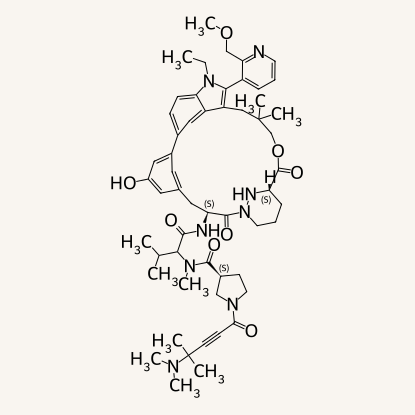 CCn1c(-c2cccnc2COC)c2c3cc(ccc31)-c1cc(O)cc(c1)C[C@H](NC(=O)C(C(C)C)N(C)C(=O)[C@H]1CCN(C(=O)C#CC(C)(C)N(C)C)C1)C(=O)N1CCC[C@H](N1)C(=O)OCC(C)(C)C2